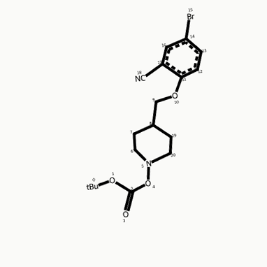 CC(C)(C)OC(=O)ON1CCC(COc2ccc(Br)cc2C#N)CC1